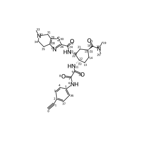 C#Cc1ccc(NC(=O)C(=O)N[C@H]2CC[C@H](C(=O)N(C)C)C[C@H]2NC(=O)c2nc3c(s2)CN(C)CC3)cc1